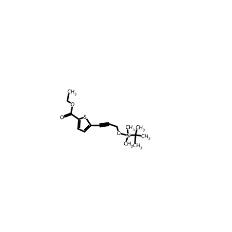 CCOC(=O)c1ccc(C#CCO[Si](C)(C)C(C)(C)C)s1